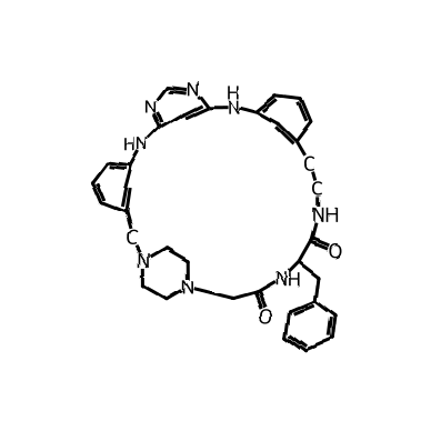 O=C1CN2CCN(CC2)Cc2cccc(c2)Nc2cc(ncn2)Nc2cccc(c2)CCNC(=O)C(Cc2ccccc2)N1